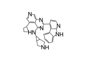 c1ccc2c(c1)[nH]c1nccc(-c3nc(NC4C5CNCC54)c4c(C5CCC5)cncc4n3)c12